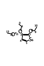 CCOc1ccsc1OCC.COC